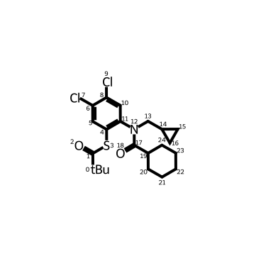 CC(C)(C)C(=O)Sc1cc(Cl)c(Cl)cc1N(CC1CC1)C(=O)C1CCCCC1